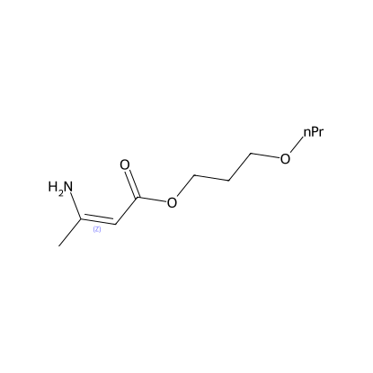 CCCOCCCOC(=O)/C=C(/C)N